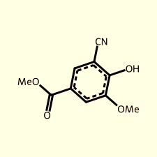 COC(=O)c1cc(C#N)c(O)c(OC)c1